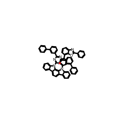 c1ccc(-c2cccc(-c3nc(-c4cccc(-c5ccccc5)c4)nc(-n4c5ccccc5c5ccc6c7ccccc7n(-c7ccc(-c8cccc9nc(-c%10ccccc%10)oc89)cc7)c6c54)n3)c2)cc1